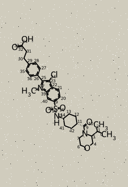 CC(C)C1COCCN1C(=O)[C@H]1CC[C@H](NS(=O)(=O)c2ccc3c(Cl)c(-c4ccc(CCC(=O)O)cc4)n(C)c3c2)CC1